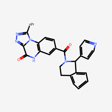 CCCc1nnc2c(=O)[nH]c3cc(C(=O)N4CCc5ccccc5C4c4ccncc4)ccc3n12